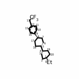 CC[C@H]1CC[C@H]([C@H]2CC[C@H](c3ccc(CC(F)(F)F)cc3)CC2)CC1